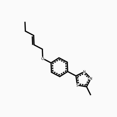 CC/C=C/COc1ccc(-c2nnc(C)s2)cc1